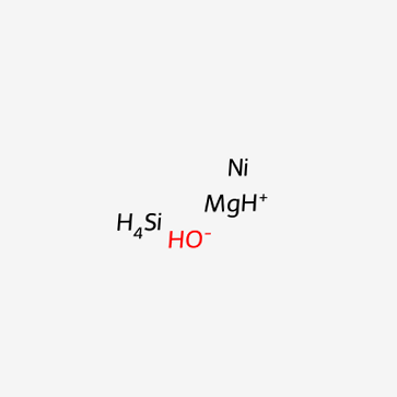 [MgH+].[Ni].[OH-].[SiH4]